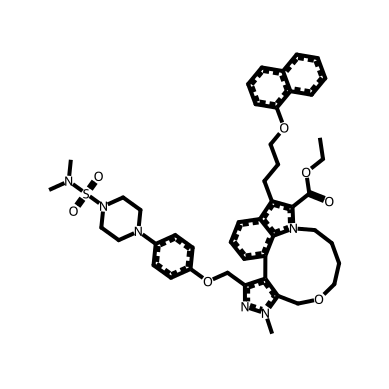 CCOC(=O)c1c(CCCOc2cccc3ccccc23)c2cccc3c2n1CCCCOCc1c-3c(COc2ccc(N3CCN(S(=O)(=O)N(C)C)CC3)cc2)nn1C